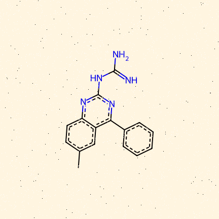 Cc1ccc2nc(NC(=N)N)nc(-c3ccccc3)c2c1